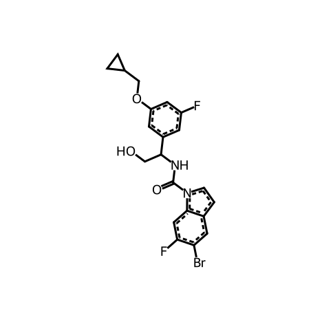 O=C(NC(CO)c1cc(F)cc(OCC2CC2)c1)n1ccc2cc(Br)c(F)cc21